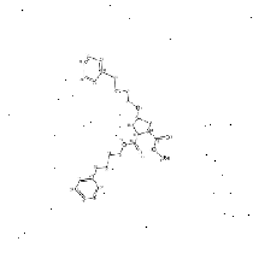 CC(C)(C)OC(=O)N1C[C@@H](OCCCCc2ccccc2)C[C@H]1C(=O)OCCCCc1ccccc1